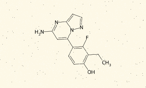 CCc1c(O)ccc(-c2cc(N)nc3ccnn23)c1F